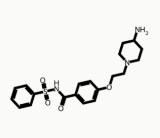 NC1CCN(CCOc2ccc(C(=O)NS(=O)(=O)c3ccccc3)cc2)CC1